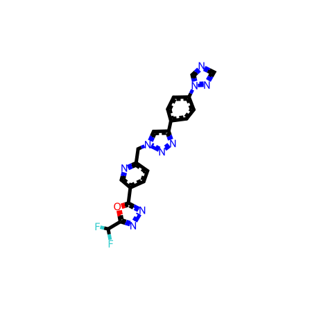 FC(F)c1nnc(-c2ccc(Cn3cc(-c4ccc(-n5cncn5)cc4)nn3)nc2)o1